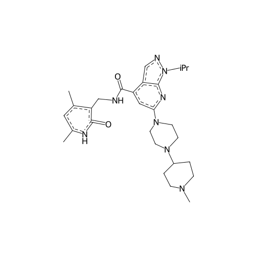 Cc1cc(C)c(CNC(=O)c2cc(N3CCN(C4CCN(C)CC4)CC3)nc3c2cnn3C(C)C)c(=O)[nH]1